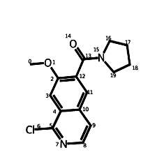 COc1cc2c(Cl)nccc2cc1C(=O)N1CCCC1